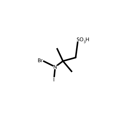 CC(C)(CS(=O)(=O)O)N(Br)I